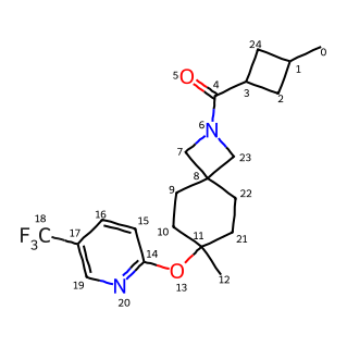 CC1CC(C(=O)N2CC3(CCC(C)(Oc4ccc(C(F)(F)F)cn4)CC3)C2)C1